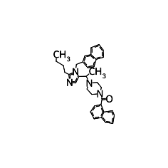 CCCCc1ncc(C(C)N2CCN(C(=O)c3cccc4ccccc34)CC2)n1Cc1ccc2ccccc2c1